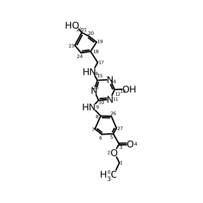 CCOC(=O)c1ccc(Nc2nc(O)nc(NCc3ccc(O)cc3)n2)cc1